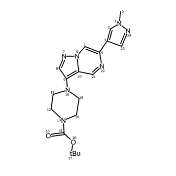 Cn1cc(-c2cn3ncc(N4CCN(C(=O)OC(C)(C)C)CC4)c3cn2)cn1